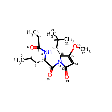 CCC[C@H](NC(=O)CC)C(=O)N1C(=O)C=C(OC)[C@H]1CC(C)C